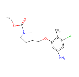 Cc1c(Cl)cc(N)cc1OCC1CCN(C(=O)OC(C)(C)C)C1